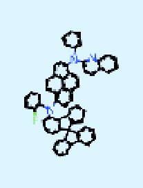 Fc1ccccc1N(c1cccc2c1-c1ccccc1C21c2ccccc2-c2ccccc21)c1ccc2ccc3c(N(c4ccccc4)c4ccc5ccccc5n4)ccc4ccc1c2c43